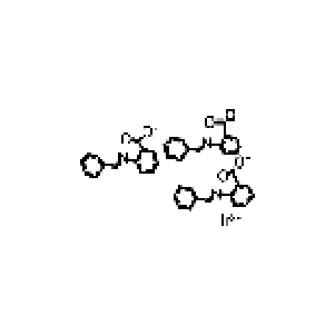 O=C([O-])c1ccccc1N=Cc1ccccc1.O=C([O-])c1ccccc1N=Cc1ccccc1.O=C([O-])c1ccccc1N=Cc1ccccc1.[Ir+3]